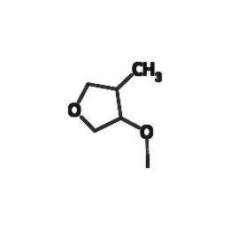 CC1COCC1OI